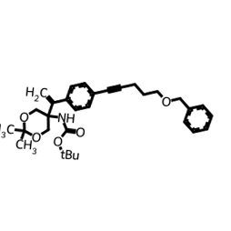 C=C(c1ccc(C#CCCCOCc2ccccc2)cc1)C1(NC(=O)OC(C)(C)C)COC(C)(C)OC1